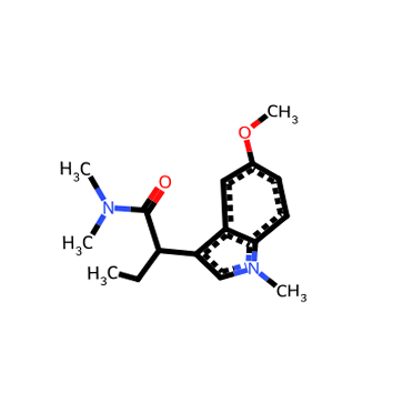 CCC(C(=O)N(C)C)c1cn(C)c2ccc(OC)cc12